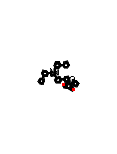 C1=CCCC(c2cccc(-c3nc(-c4cccc(-c5ccccc5)c4)cc(-c4cccc(-c5ccc6c(c5)C5(c7ccccc7O6)c6ccccc6-c6ccccc65)c4)n3)c2)=C1